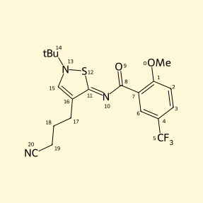 COc1ccc(C(F)(F)F)cc1C(=O)/N=c1\sn(C(C)(C)C)cc1CCCC#N